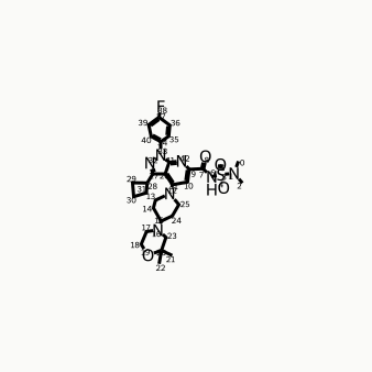 CN(C)S(=O)(=O)NC(=O)c1cc(N2CCC(N3CCOC(C)(C)C3)CC2)c2c(C3CCC3)nn(-c3ccc(F)cc3)c2n1